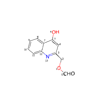 O=COCc1cc(O)c2ccccc2n1